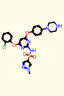 Cn1cc(S(=O)(=O)Nc2nc(Oc3ccc(N4CCNCC4)cc3)cc(Oc3ccccc3Cl)n2)cn1